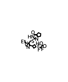 CCn1cnc(C2CCC2)c1CSc1nc2c(c(=O)[nH]1)CCC2.O=C(O)C(F)(F)F